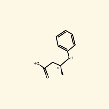 C[C@@H](CC(=O)O)Nc1ccccc1